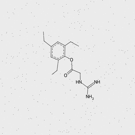 CCc1cc(CC)c(OC(=O)CNC(=N)N)c(CC)c1